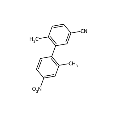 Cc1cc([N+](=O)[O-])ccc1-c1cc(C#N)ccc1C